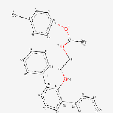 CCc1ccc(OC(OCCOc2c(-c3ccccc3)cccc2-c2ccccc2)C(C)C)cc1